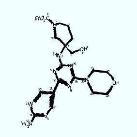 CCOC(=O)N1CC[C@](CO)(Nc2nc(-c3cnc(N)nc3)nc(N3CCOCC3)n2)C1